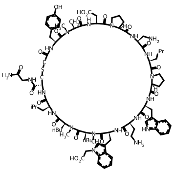 CCCC[C@H]1C(=O)N(C)[C@@H](CCCC)C(=O)N[C@@H](CC(C)C)C(=O)N[C@H](C(=O)NCC(N)=O)CSCC(=O)N[C@@H](Cc2ccc(O)cc2)C(=O)N(C)[C@@H](C)C(=O)N[C@@H](CC(=O)O)C(=O)N2CCC[C@H]2C(=O)N[C@@H](CN)C(=O)N[C@@H](CC(C)C)C(=O)N2CCC[C@H]2C(=O)N[C@@H](Cc2c[nH]c3ccccc23)C(=O)N[C@@H](CCN)C(=O)N[C@@H](Cc2cn(CC(=O)O)c3ccccc23)C(=O)N1C